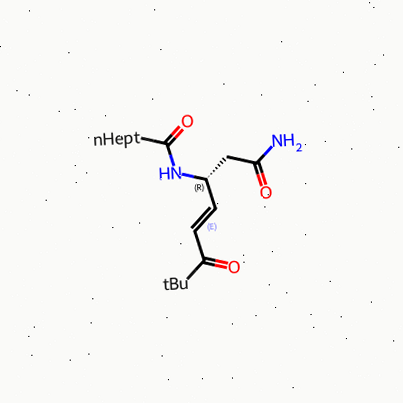 CCCCCCCC(=O)N[C@@H](/C=C/C(=O)C(C)(C)C)CC(N)=O